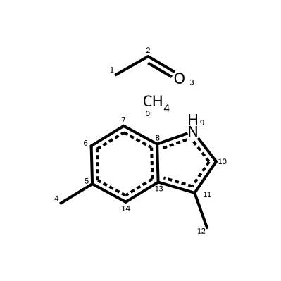 C.CC=O.Cc1ccc2[nH]cc(C)c2c1